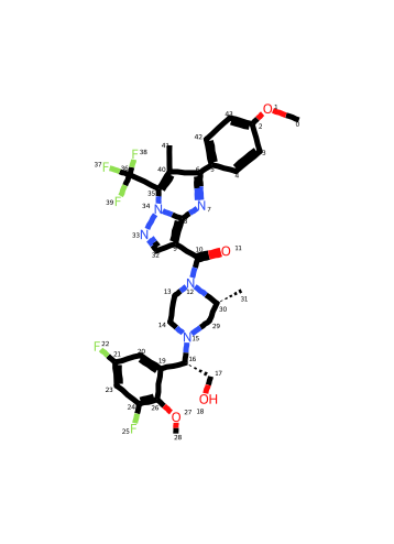 COc1ccc(-c2nc3c(C(=O)N4CCN([C@H](CO)c5cc(F)cc(F)c5OC)C[C@H]4C)cnn3c(C(F)(F)F)c2C)cc1